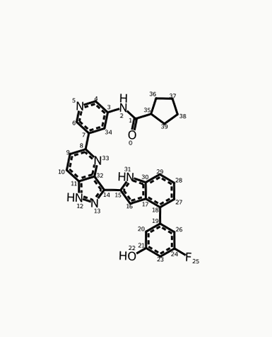 O=C(Nc1cncc(-c2ccc3[nH]nc(-c4cc5c(-c6cc(O)cc(F)c6)cccc5[nH]4)c3n2)c1)C1CCCC1